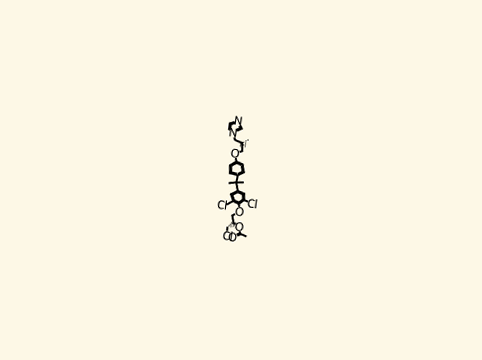 CC(=O)O[C@H](CCl)COc1c(Cl)cc(C(C)(C)c2ccc(OC[C@@H](C)Cn3ccnc3)cc2)cc1Cl